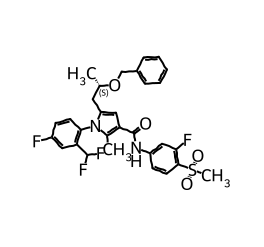 Cc1c(C(=O)Nc2ccc(S(C)(=O)=O)c(F)c2)cc(C[C@H](C)OCc2ccccc2)n1-c1ccc(F)cc1C(F)F